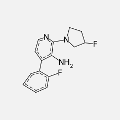 Nc1c(-c2ccccc2F)ccnc1N1CCC(F)C1